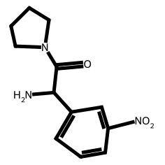 NC(C(=O)N1CCCC1)c1cccc([N+](=O)[O-])c1